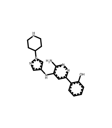 Nc1nnc(-c2ccccc2O)cc1Nc1cnn(C2CCNCC2)c1